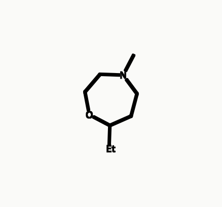 CCC1CCN(C)CCO1